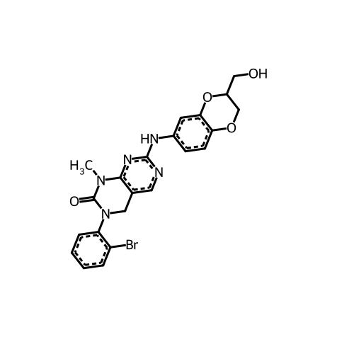 CN1C(=O)N(c2ccccc2Br)Cc2cnc(Nc3ccc4c(c3)OC(CO)CO4)nc21